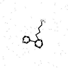 CCCCCc1ccccc1-c1cccnc1